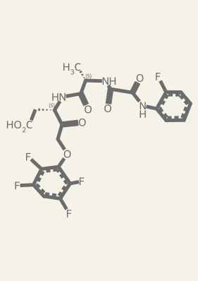 C[C@H](NC(=O)C(=O)Nc1ccccc1F)C(=O)N[C@@H](CC(=O)O)C(=O)COc1c(F)c(F)cc(F)c1F